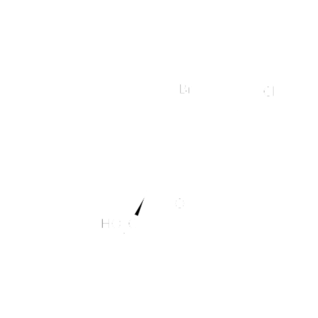 O=C(O)[C@@]1(c2ccccc2)Cc2c(ccc(Cl)c2Br)O1